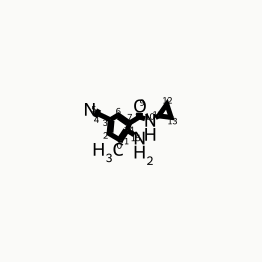 Cc1cc(C#N)cc(C(=O)NC2CC2)c1N